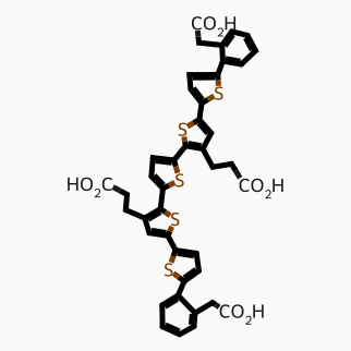 O=C(O)CCc1cc(-c2ccc(-c3ccccc3CC(=O)O)s2)sc1-c1ccc(-c2sc(-c3ccc(-c4ccccc4CC(=O)O)s3)cc2CCC(=O)O)s1